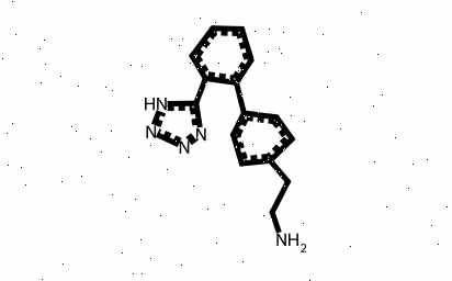 NCCc1ccc(-c2ccccc2-c2nnn[nH]2)cc1